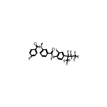 CN(C(=O)c1ccc(F)cc1)c1cccc(C(=O)N(I)c2ccc(C(F)(C(F)(F)F)C(F)(F)C(F)(F)F)cc2I)c1